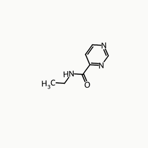 CCNC(=O)c1ccncn1